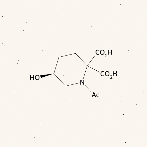 CC(=O)N1C[C@@H](O)CCC1(C(=O)O)C(=O)O